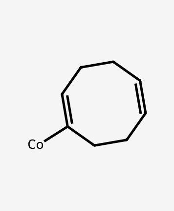 [Co][C]1=CCCC=CCC1